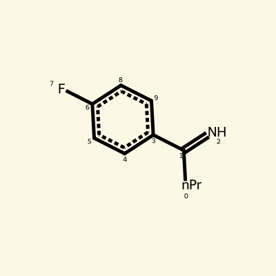 CCCC(=N)c1ccc(F)cc1